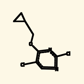 Clc1ncc(Cl)c(OCC2CC2)n1